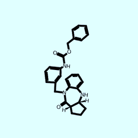 O=C(Nc1cccc(CN2C(=O)[C@H]3CCC[C@H]3Nc3ccccc32)c1)OCc1ccccc1